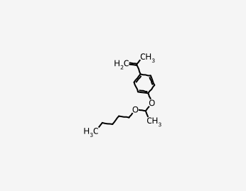 C=C(C)c1ccc(OC(C)OCCCCC)cc1